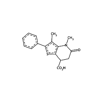 Cc1c(-c2ccccc2)sc2c1N(C)C(=O)CC2C(=O)O